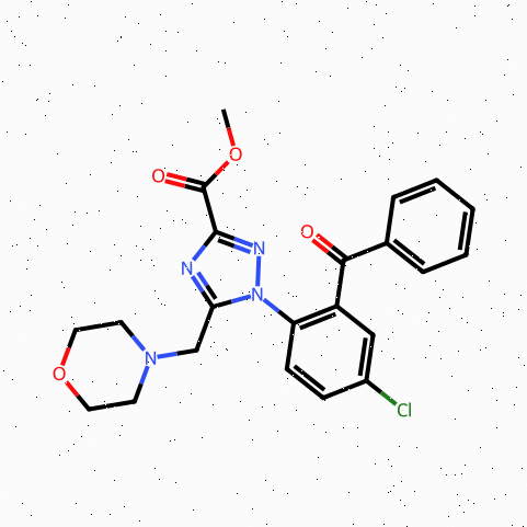 COC(=O)c1nc(CN2CCOCC2)n(-c2ccc(Cl)cc2C(=O)c2ccccc2)n1